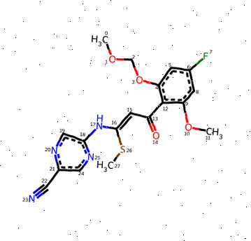 COCOc1cc(F)cc(OC)c1C(=O)C=C(Nc1cnc(C#N)cn1)SC